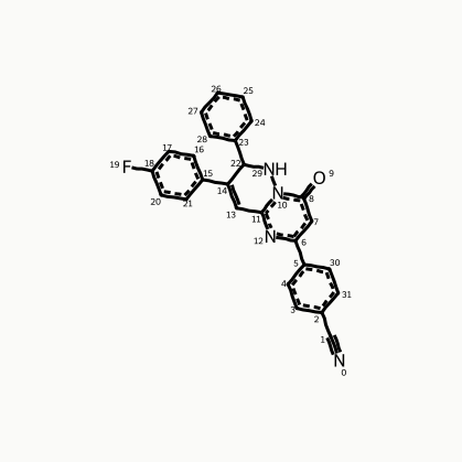 N#Cc1ccc(-c2cc(=O)n3c(n2)C=C(c2ccc(F)cc2)C(c2ccccc2)N3)cc1